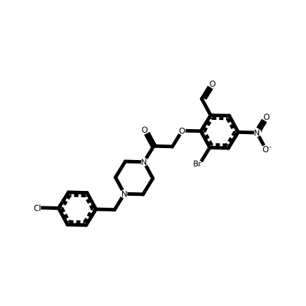 O=Cc1cc([N+](=O)[O-])cc(Br)c1OCC(=O)N1CCN(Cc2ccc(Cl)cc2)CC1